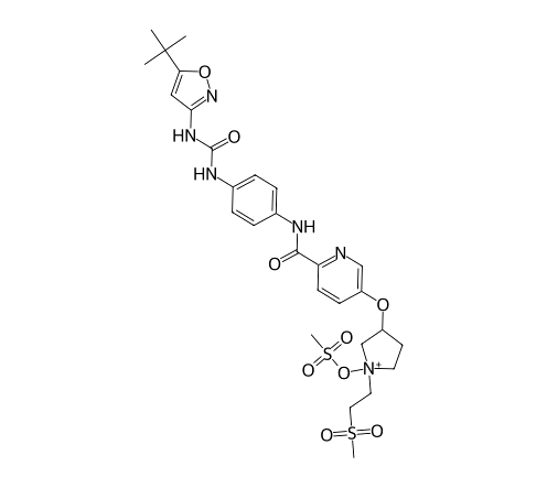 CC(C)(C)c1cc(NC(=O)Nc2ccc(NC(=O)c3ccc(OC4CC[N+](CCS(C)(=O)=O)(OS(C)(=O)=O)C4)cn3)cc2)no1